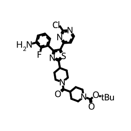 CC(C)(C)OC(=O)N1CCC(C(=O)N2CCC(c3nc(-c4cccc(N)c4F)c(-c4ccnc(Cl)n4)s3)CC2)CC1